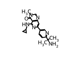 Cn1cnc2cc(-c3ccc(C(C)(C)N)nc3)nc(NC3CC3)c2c1=O